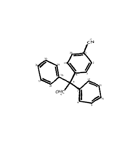 N#Cc1ccc(C(C=O)(c2ccccc2)c2ccccc2)cc1